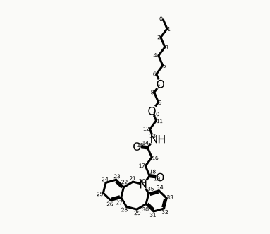 CCCCCCCOCCOCCNC(=O)CCC(=O)N1CC2=CCCC=C2CCc2ccccc21